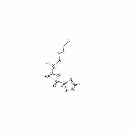 CCCCC[C@@H](C)C(O)OC(=O)n1ccnc1